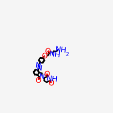 NCCNC(=O)COc1ccc(/N=N/c2cccc3c2CN(C2CCC(=O)NC2=O)C3=O)cc1